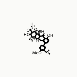 COc1ccc(-c2ccc(O)c3c2C[C@@H]2C[C@@H]4[C@H](N(C)C)C(O)=C(C(N)=O)C(=O)[C@]4(O)C(O)=C2C3=O)cc1CN(C)C